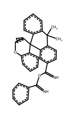 CC1(C)c2ccccc2C2(c3ccccc3Oc3ccccc32)c2cc(C(=N)OC(=N)c3ccccc3)ccc21